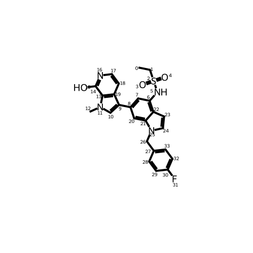 CCS(=O)(=O)Nc1cc(-c2cn(C)c3c(O)nccc23)cc2c1ccn2Cc1ccc(F)cc1